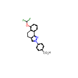 O=C(O)c1ccc(-n2cc3c(n2)-c2cccc(OC(F)F)c2CC3)cc1